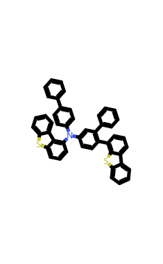 c1ccc(-c2ccc(N(c3ccc(-c4cccc5c4sc4ccccc45)c(-c4ccccc4)c3)c3cccc4sc5ccccc5c34)cc2)cc1